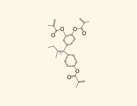 C=C(C)C(=O)Oc1ccc(/C(=C(\C)CC)c2ccc(OC(=O)C(=C)C)c(OC(=O)C(=C)C)c2)cc1